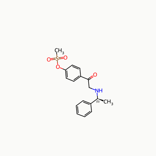 C[C@H](NCC(=O)c1ccc(OS(C)(=O)=O)cc1)c1ccccc1